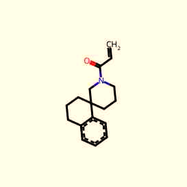 C=CC(=O)N1CCCC2(CCCc3ccccc32)C1